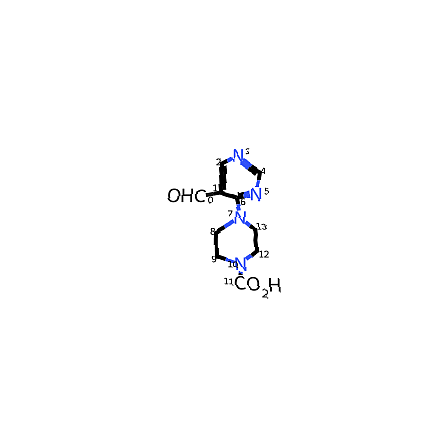 O=Cc1cncnc1N1CCN(C(=O)O)CC1